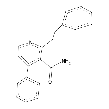 NC(=O)c1c(-c2ccccc2)ccnc1[CH]Cc1ccccc1